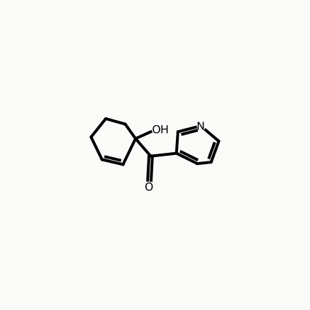 O=C(c1cccnc1)C1(O)C=CCCC1